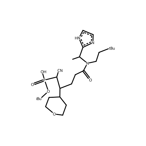 CCC(C)OP(=O)(O)C(C#N)C(CCC(=O)N(CCC(C)(C)C)C(C)c1ncc[nH]1)C1CCOCC1